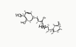 O=C(C=Cc1ccc(O)c(O)c1)NCCc1cccc(F)c1